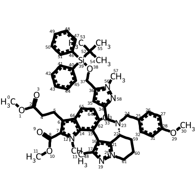 COC(=O)CCc1c(C(=O)OC)n(C)c2c(-c3c(C)nn4c3[C@H](N(Cc3ccc(OC)cc3)Cc3cc(CO[Si](c5ccccc5)(c5ccccc5)C(C)(C)C)n(C)n3)CCC4)c(Cl)ccc12